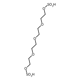 O=S(=O)(O)OCCOCCOCCOCCOS(=O)(=O)O